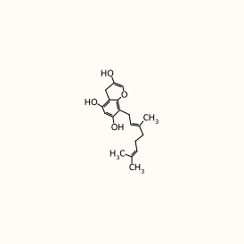 CC(C)=CCC/C(C)=C/Cc1c(O)cc(O)c2c1OC=C(O)C2